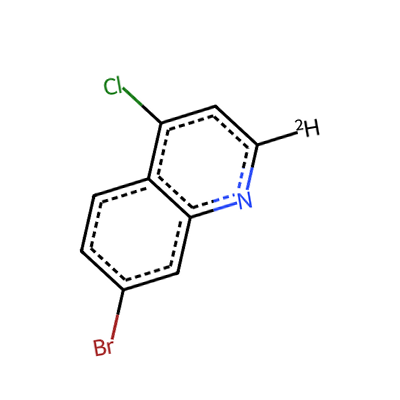 [2H]c1cc(Cl)c2ccc(Br)cc2n1